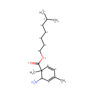 CC1=CC(N)C(C)(C(=O)OCCCCCC(C)C)C=C1